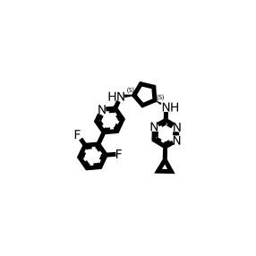 Fc1cccc(F)c1-c1ccc(N[C@H]2CC[C@H](Nc3ncc(C4CC4)nn3)C2)nc1